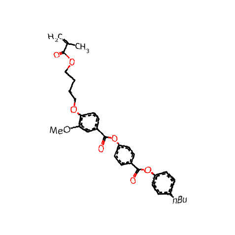 C=C(C)C(=O)OCCCCOc1ccc(C(=O)Oc2ccc(C(=O)Oc3ccc(CCCC)cc3)cc2)cc1OC